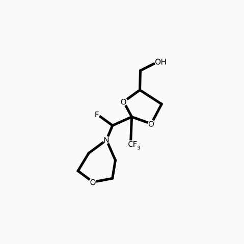 OCC1COC(C(F)N2CCOCC2)(C(F)(F)F)O1